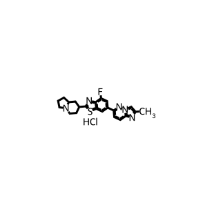 Cc1cn2nc(-c3cc(F)c4nc(C5CCN6CCCC6C5)sc4c3)ccc2n1.Cl